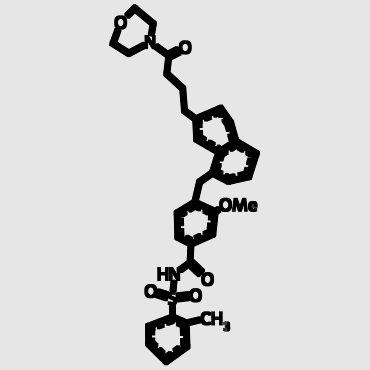 COc1cc(C(=O)NS(=O)(=O)c2ccccc2C)ccc1Cc1cccc2ccc(CCCC(=O)N3CCOCC3)cc12